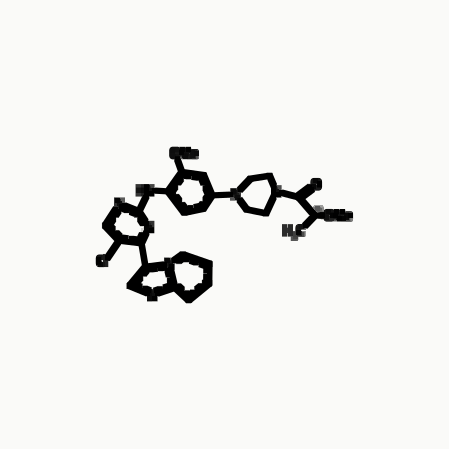 COc1cc(N2CCN(C(=O)[C@H](C)OC)CC2)ccc1Nc1ncc(Cl)c(-c2cnc3ccccn23)n1